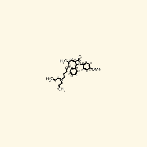 C=CCN(CC=C)CCCON=C(C)/C=C1/C(=O)N(c2ccc(OC)cc2)C1c1ccccc1